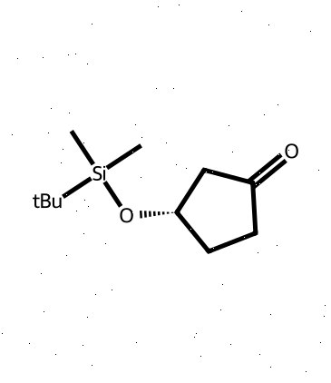 CC(C)(C)[Si](C)(C)O[C@H]1CCC(=O)C1